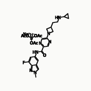 CC(=O)O[BH-](OC(C)=O)OC(C)=O.Cn1cc2cc(NC(=O)c3cnc(N4CC(CCNC5CC5)C4)cn3)cc(F)c2n1.[Na+]